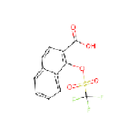 O=C(O)c1ccc2ccccc2c1OS(=O)(=O)C(F)(F)F